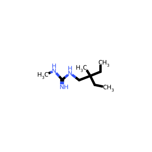 CCC(C)(CC)CNC(=N)NC